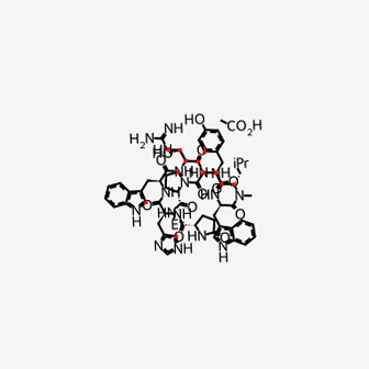 CC(=O)O.CCNC(=O)[C@@H]1CCCN1C(=O)[C@H](CCCNC(=N)N)NC(=O)[C@H](CC(C)C)N(C)C(=O)[C@@H](Cc1c[nH]c2ccccc12)NC(=O)[C@H](Cc1ccc(O)cc1)NC(=O)[C@H](CO)NC(=O)[C@H](Cc1c[nH]c2ccccc12)NC(=O)[C@H](Cc1c[nH]cn1)NC(=O)[C@@H]1CCC(=O)N1